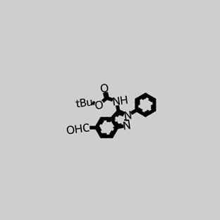 CC(C)(C)OC(=O)Nc1c2cc(C=O)ccc2nn1-c1ccccc1